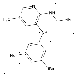 Cc1cnc(NCC(C)C)c(Nc2cc(C#N)cc(C(C)(C)C)c2)c1